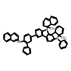 CC12C=CC=CC1c1c(ccc3c4cc(-c5ccc(Nc6ccc7ccccc7c6)c(-c6ccccc6)c5)ccc4n(C4(C)C=CC=C5C=CC=CC54)c13)N2c1ccccc1